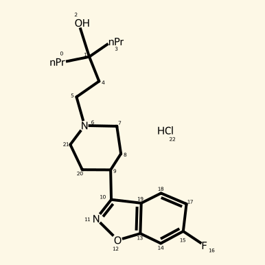 CCCC(O)(CCC)CCN1CCC(c2noc3cc(F)ccc23)CC1.Cl